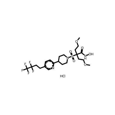 COCCC(CCOC)(C(=O)NO)S(=O)(=O)N1CCC(c2ccc(CCC(F)(F)C(F)(F)F)cn2)CC1.Cl